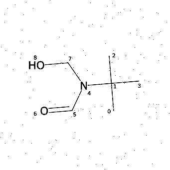 CC(C)(C)N(C=O)CO